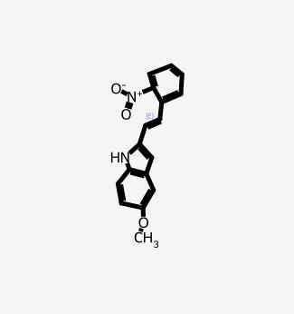 COc1ccc2[nH]c(/C=C/c3ccccc3[N+](=O)[O-])cc2c1